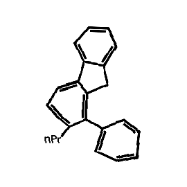 CCCc1ccc2c(c1-c1ccccc1)Cc1ccccc1-2